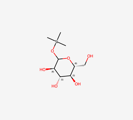 C[Si](C)(C)OC1O[C@H](CO)[C@@H](O)[C@H](O)[C@H]1O